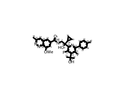 COc1cc(C(=O)NCC(O)(c2nc(-c3ccc(F)cc3)c(F)c(C(C)(C)O)c2F)C2CC2)cc2cc(C)nnc12